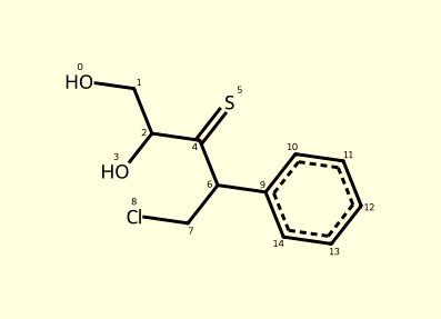 OCC(O)C(=S)C(CCl)c1ccccc1